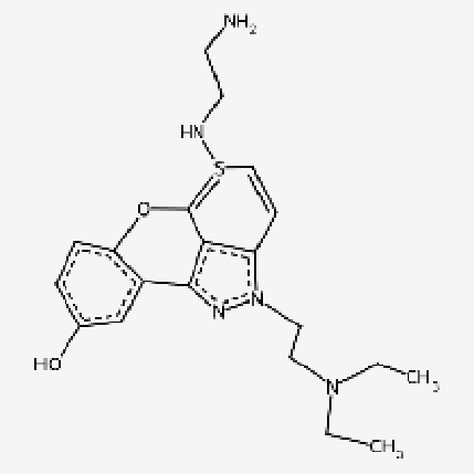 CCN(CC)CCn1nc2c3c1C=CS(NCCN)=C3Oc1ccc(O)cc1-2